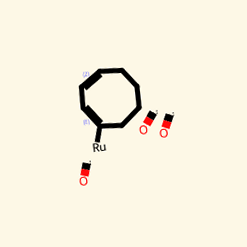 [C]=O.[C]=O.[C]=O.[Ru]/[C]1=C/C=C\CCCC1